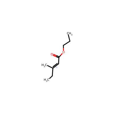 CCCOC(=O)/C=C(\C)CC